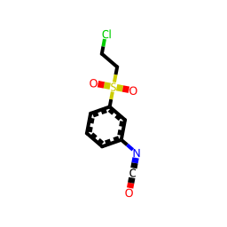 O=C=Nc1cccc(S(=O)(=O)CCCl)c1